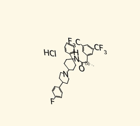 C[C@H](C(=O)NC1(c2ccccc2)CCC(N2CCC(c3ccc(F)cc3)CC2)CC1)c1cc(C(F)(F)F)cc(C(F)(F)F)c1.Cl